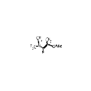 COC(=C(F)N(C(F)(F)F)C(F)(F)F)C(F)(F)F